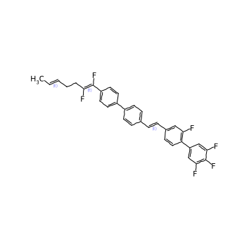 C/C=C/CC/C(F)=C(\F)c1ccc(-c2ccc(/C=C/c3ccc(-c4cc(F)c(F)c(F)c4)c(F)c3)cc2)cc1